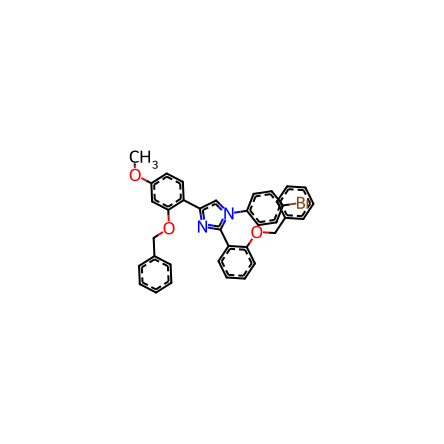 COc1ccc(-c2cn(-c3ccc(Br)cc3)c(-c3ccccc3OCc3ccccc3)n2)c(OCc2ccccc2)c1